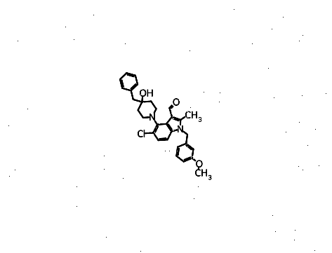 COc1cccc(Cn2c(C)c(C=O)c3c(N4CCC(O)(Cc5ccccc5)CC4)c(Cl)ccc32)c1